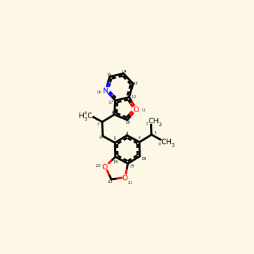 CC(C)c1cc(CC(C)c2coc3cccnc23)c2c(c1)OCO2